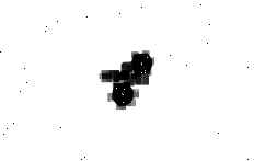 [NH]C(=O)N(Nc1ccccc1)c1ccccc1